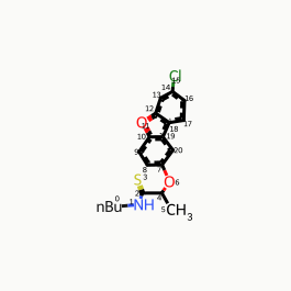 CCCCNC(=S)C(C)Oc1ccc2oc3cc(Cl)ccc3c2c1